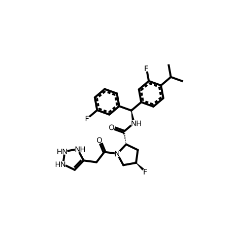 CC(C)c1ccc([C@@H](NC(=O)[C@@H]2C[C@@H](F)CN2C(=O)CC2=CNNN2)c2cccc(F)c2)cc1F